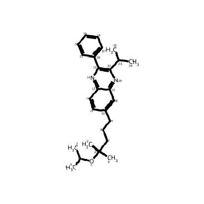 CC(C)OC(C)(C)CCCc1ccc2nc(-c3ccccc3)c(C(C)C)nc2c1